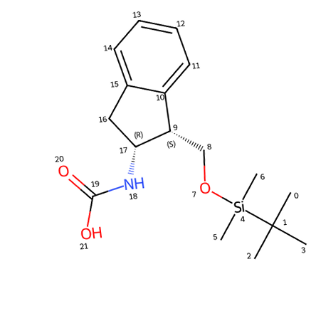 CC(C)(C)[Si](C)(C)OC[C@H]1c2ccccc2C[C@H]1NC(=O)O